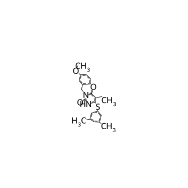 CCc1c(Sc2cc(C)cc(C)c2)[nH]c(=O)n(Cc2cccc(OC)c2)c1=O